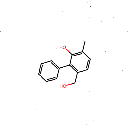 Cc1ccc(CO)c(-c2ccccc2)c1O